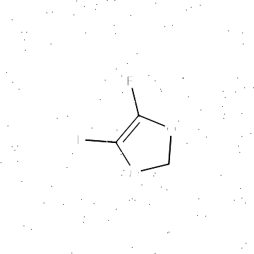 FC1=C(F)OCO1